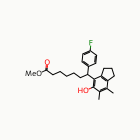 COC(=O)CCCCCC(c1ccc(F)cc1)c1c(O)c(C)c(C)c2c1CCC2